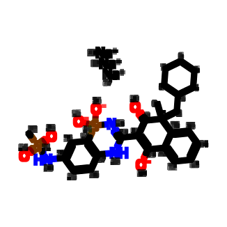 CC1(CC2CCCCC2)C(=O)C(C2=NS([O-])([O-])c3cc(NS(C)(=O)=O)ccc3N2)=C([O-])c2ccccc21.[Na+].[Na+].[Na+]